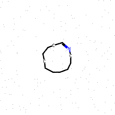 C1=NCCCCCCCCCC1